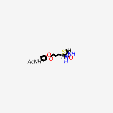 CC(=O)Nc1ccc(OC(=O)CCCC[C@@H]2SC[C@@H]3NC(=O)N[C@@H]32)cc1